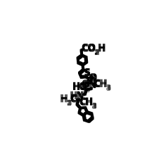 CN(C[C@H](O)CNC(C)(C)CC1Cc2ccccc2C1)S(=O)(=O)c1ccc(-c2ccc(CC(=O)O)cc2)s1